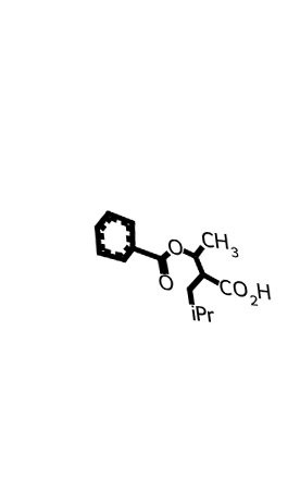 CC(C)CC(C(=O)O)C(C)OC(=O)c1ccccc1